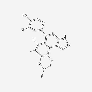 Cc1c(OC(F)F)c(F)c2c(c(-c3ccc(O)c(Cl)c3)nc3[nH]ncc32)c1F